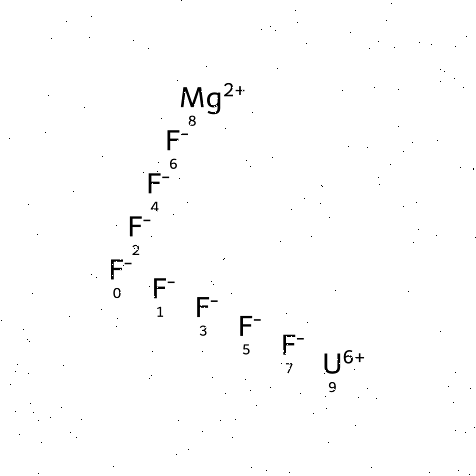 [F-].[F-].[F-].[F-].[F-].[F-].[F-].[F-].[Mg+2].[U+6]